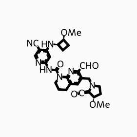 CO[C@H]1CCN(Cc2cc3c(nc2C=O)N(C(=O)Nc2cc(N[C@@H]4CC[C@@H]4OC)c(C#N)cn2)CCC3)C1=C=O